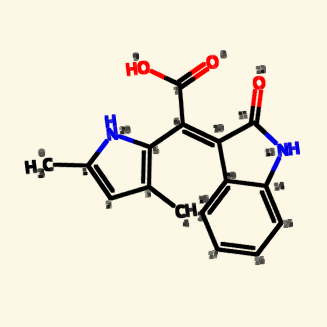 Cc1cc(C)c(C(C(=O)O)=C2C(=O)Nc3ccccc32)[nH]1